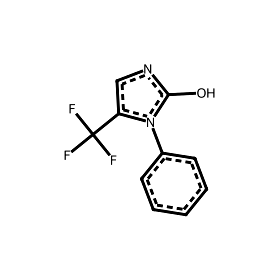 Oc1ncc(C(F)(F)F)n1-c1ccccc1